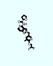 Cc1cc(Cn2cc3c(NC(=O)[C@@H]4CCCO4)nccc3n2)cnc1OCC(F)F